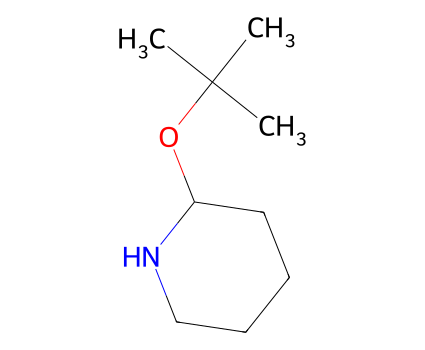 CC(C)(C)OC1CCCCN1